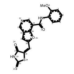 COc1ccccc1NC(=O)c1cncc2cc(/C=C3/SC(=S)NC3=O)oc12